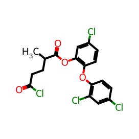 CC(CCC(=O)Cl)C(=O)Oc1cc(Cl)ccc1Oc1ccc(Cl)cc1Cl